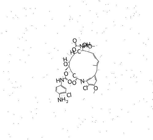 COc1cc2cc(c1Cl)N(C)C(=O)C[C@H](OC(=O)Nc1ccc(N)c(Cl)c1)[C@]1(C)O[C@H]1[C@H](C)[C@@H]1C[C@@](O)(NC(=O)O1)[C@H](OC)/C=C/C=C(\C)C2